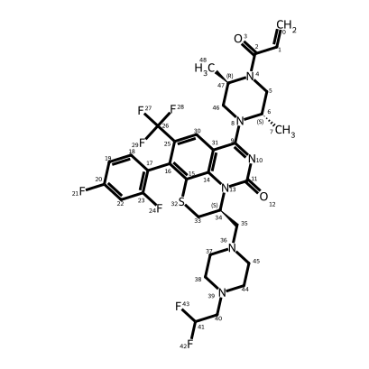 C=CC(=O)N1C[C@H](C)N(c2nc(=O)n3c4c(c(-c5ccc(F)cc5F)c(C(F)(F)F)cc24)SC[C@@H]3CN2CCN(CC(F)F)CC2)C[C@H]1C